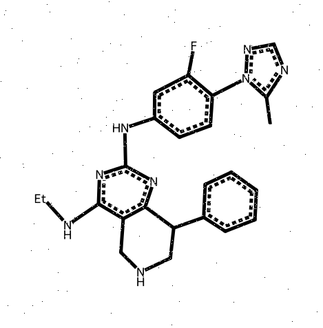 CCNc1nc(Nc2ccc(-n3ncnc3C)c(F)c2)nc2c1CNCC2c1ccccc1